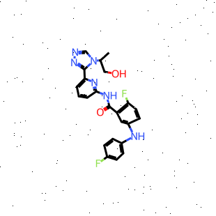 CC(CO)n1cnnc1-c1cccc(NC(=O)c2cc(Nc3ccc(F)cc3)ccc2F)n1